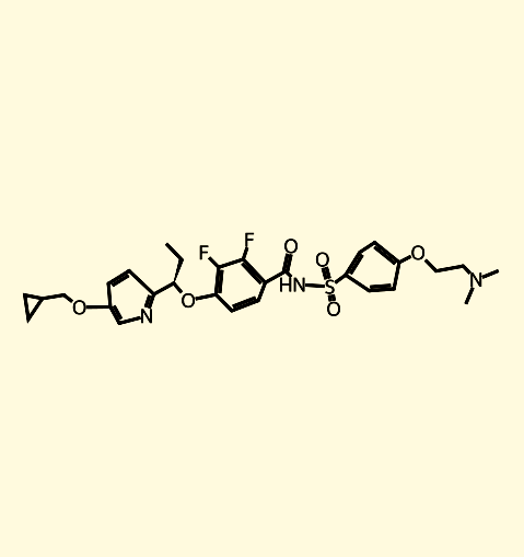 CC[C@@H](Oc1ccc(C(=O)NS(=O)(=O)c2ccc(OCCN(C)C)cc2)c(F)c1F)c1ccc(OCC2CC2)cn1